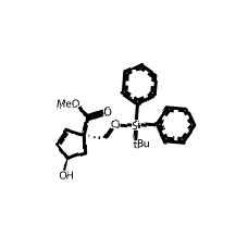 COC(=O)[C@]1(CO[Si](c2ccccc2)(c2ccccc2)C(C)(C)C)C=C[C@H](O)C1